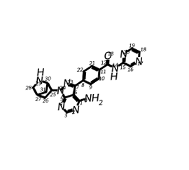 Nc1ncnc2c1c(-c1ccc(C(=O)Nc3cnccn3)cc1)nn2C1CC2CNC1C2